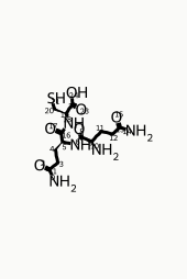 NC(=O)CC[C@H](NC(=O)[C@@H](N)CCC(N)=O)C(=O)N[C@@H](CS)C(=O)O